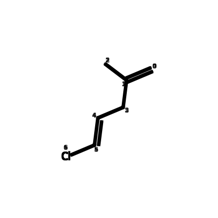 C=C(C)CC=CCl